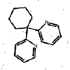 c1ccc(C2(c3ccccn3)CCCCC2)nc1